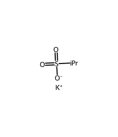 CC(C)S(=O)(=O)[O-].[K+]